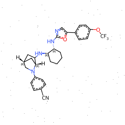 N#Cc1ccc(N2C[C@@H]3CC(N[C@@H]4CCCC[C@H]4Nc4ncc(-c5ccc(OC(F)(F)F)cc5)o4)[C@H]2C3)cc1